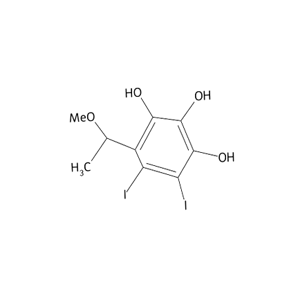 COC(C)c1c(O)c(O)c(O)c(I)c1I